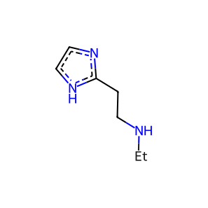 CCNCCc1ncc[nH]1